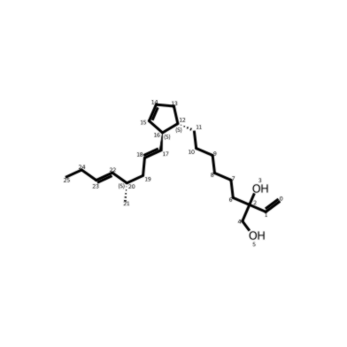 C=CC(O)(CO)CCCCCC[C@H]1CC=C[C@@H]1C=CC[C@H](C)C=CCC